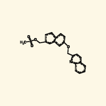 CS(=O)(=O)OCc1ccc2ccc(OCc3ccc4ccccc4n3)cc2c1